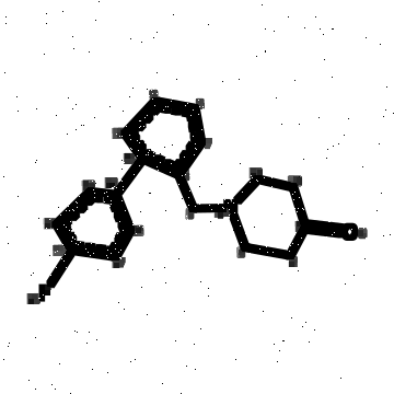 O=C1CCN(Cc2ccccc2-c2ccc(F)cc2)CC1